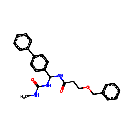 CNC(=O)NC(NC(=O)CCOCc1ccccc1)c1ccc(-c2ccccc2)cc1